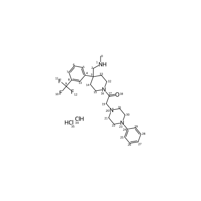 CNCC1(c2cccc(C(F)(F)F)c2)CCN(C(=O)CN2CCN(c3ccccc3)CC2)CC1.Cl.Cl